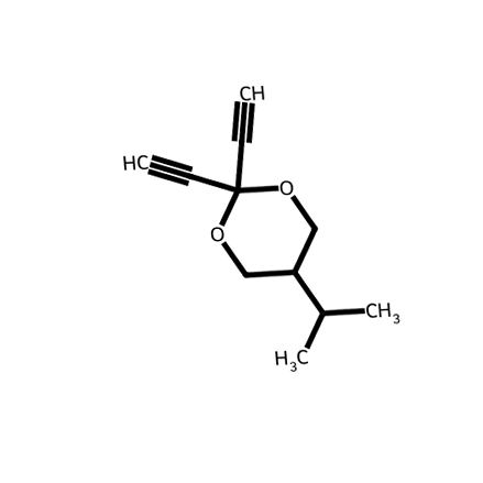 C#CC1(C#C)OCC(C(C)C)CO1